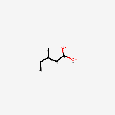 CCC(C)CC(O)O